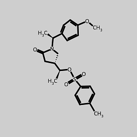 COc1ccc([C@H](C)N2C[C@H]([C@H](C)OS(=O)(=O)c3ccc(C)cc3)CC2=O)cc1